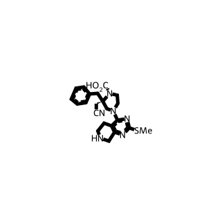 CSc1nc2c(c(N3CCN(C(=O)O)[C@](CC#N)(Cc4ccccc4)C3)n1)CCNC2